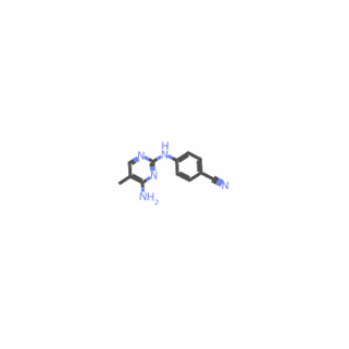 Cc1cnc(Nc2ccc(C#N)cc2)nc1N